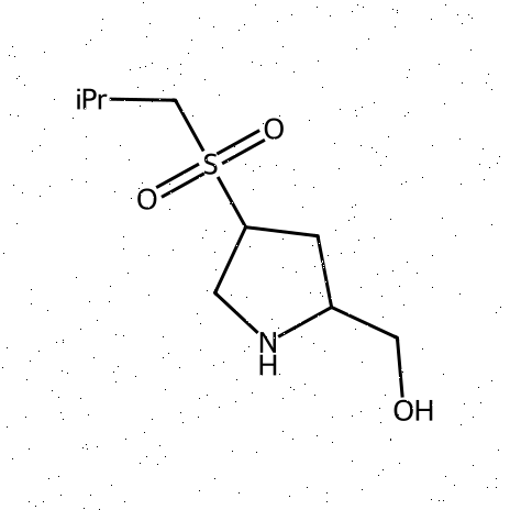 CC(C)CS(=O)(=O)C1CNC(CO)C1